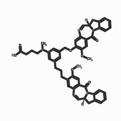 COc1cc2c(cc1CCCc1cc(COc3cc4c(cc3OC)C(=O)N3c5ccccc5C[C@H]3C=N4)cc(N(C)CCCC(=O)O)c1)N=C[C@@H]1Cc3ccccc3N1C2=O